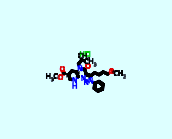 COCCCCc1c(C(=O)N(CC(C)C)[C@@H]2CNC[C@H](C(=O)OC)C2)nnn1-c1ccccc1.Cl